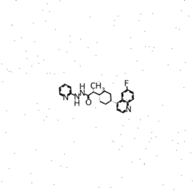 C[C@@H](C(=O)NNc1ccccn1)[C@H]1CC[C@@H](c2ccnc3ccc(F)cc32)CC1